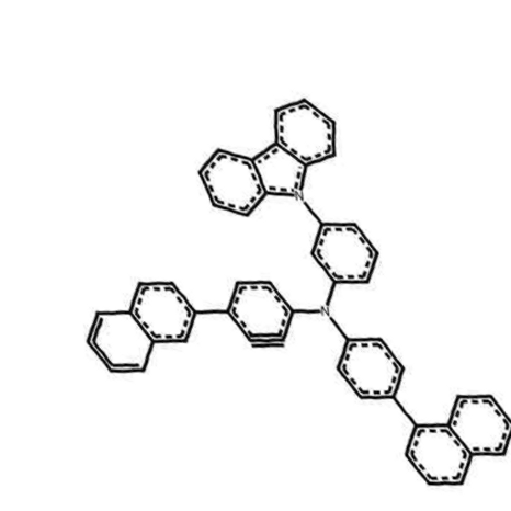 C1=C=Cc2cc(-c3c#cc(N(c4ccc(-c5cccc6ccccc56)cc4)c4cccc(-n5c6ccccc6c6ccccc65)c4)cc3)ccc2C=1